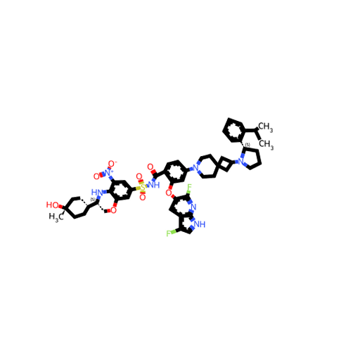 CC(C)c1ccccc1[C@@H]1CCCN1C1CC2(CCN(c3ccc(C(=O)NS(=O)(=O)c4cc5c(c([N+](=O)[O-])c4)N[C@@H]([C@H]4CC[C@](C)(O)CC4)CO5)c(Oc4cc5c(F)c[nH]c5nc4F)c3)CC2)C1